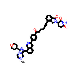 CC(=O)N1CCn2c(C3CCOCC3)nc(-c3cccc4cc(-c5ccc(C(=O)CCCC#Cc6cccc7c6CN(C6CCC(=O)NC6=O)C7=O)cc5)ncc34)c2C1